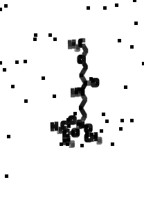 CCOCCC(=O)NCCC[Si](OC)(OC)OC